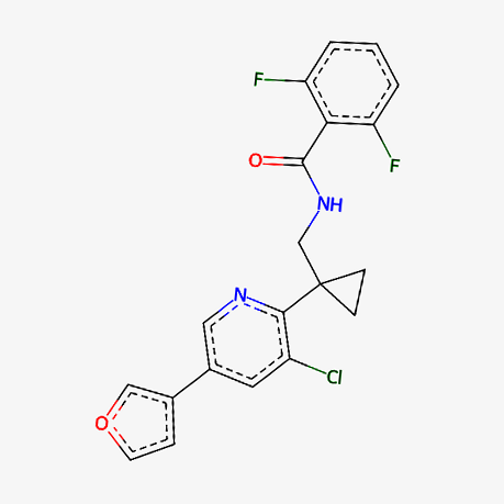 O=C(NCC1(c2ncc(-c3ccoc3)cc2Cl)CC1)c1c(F)cccc1F